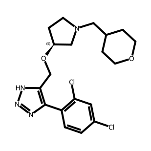 Clc1ccc(-c2nn[nH]c2CO[C@H]2CCN(CC3CCOCC3)C2)c(Cl)c1